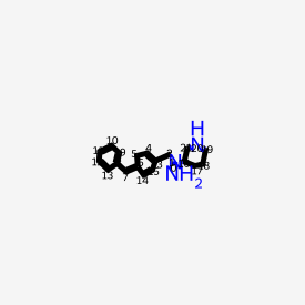 NN(CC1=CCC(=Cc2ccccc2)C=C1)C1CCCNC1